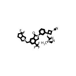 Cn1cnnc1C[C@]1(c2cccc(N3Cc4c(cc(CN5CC6CCC(F)(F)C6C5)cc4C(F)(F)F)C3=O)c2)C[C@H](C#N)C1